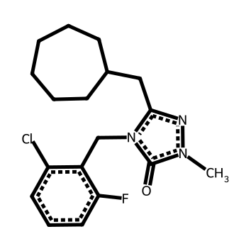 Cn1nc(CC2CCCCCC2)n(Cc2c(F)cccc2Cl)c1=O